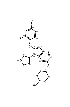 O[C@H]1CC[C@H](Nc2ncc3nc(Nc4ccc(F)cc4F)n(C4CCOC4)c3n2)CC1